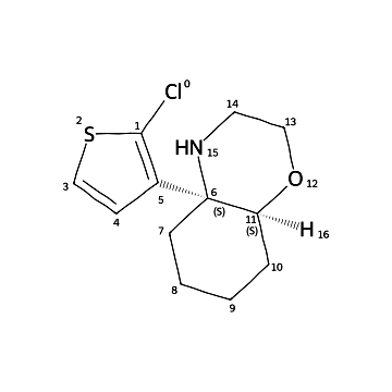 Clc1sccc1[C@@]12CCCC[C@@H]1OCCN2